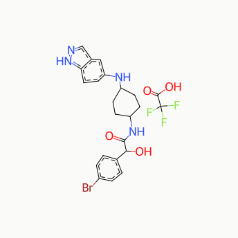 O=C(NC1CCC(Nc2ccc3[nH]ncc3c2)CC1)C(O)c1ccc(Br)cc1.O=C(O)C(F)(F)F